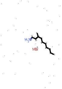 Br.CCCCCCCC(C)CCN